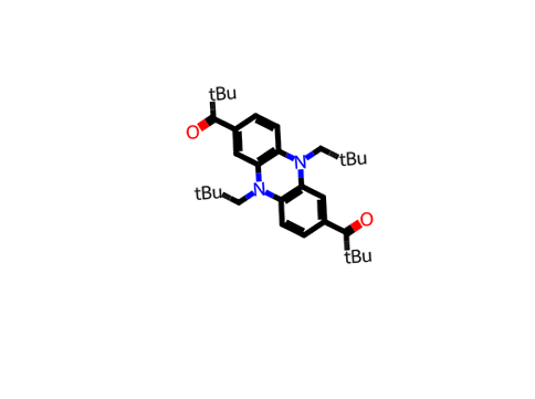 CC(C)(C)CN1c2ccc(C(=O)C(C)(C)C)cc2N(CC(C)(C)C)c2ccc(C(=O)C(C)(C)C)cc21